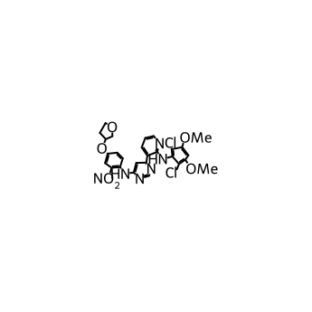 COc1cc(OC)c(Cl)c(Nc2ncccc2-c2cc(Nc3ccc(OC4CCOC4)cc3[N+](=O)[O-])ncn2)c1Cl